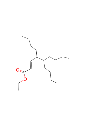 CCCCC(C=CC(=O)OCC)C(CCCC)CCCC